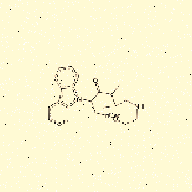 CCCCCCCCCCCC(C(=O)C(C)C1(C)CNCCO1)n1c2ccccc2c2ccccc21